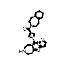 O=C(C1CN(c2c3c(nc4ccnn24)CCNCC3)C1)N1CCc2ccccc2CC1